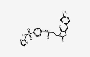 Cc1ccc(C=C2SC(=S)N(CCC(=O)Nc3ccc(S(=O)(=O)Nc4nccs4)cc3)C2=O)cc1